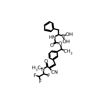 CC(OC(=O)NC(Cc1ccccc1)B(O)O)c1cccc(C=C(C#N)C(=O)N(C)C(F)C(F)F)c1